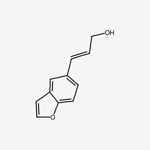 OC/C=C/c1ccc2occc2c1